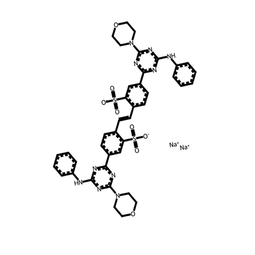 O=S(=O)([O-])c1cc(-c2nc(Nc3ccccc3)nc(N3CCOCC3)n2)ccc1C=Cc1ccc(-c2nc(Nc3ccccc3)nc(N3CCOCC3)n2)cc1S(=O)(=O)[O-].[Na+].[Na+]